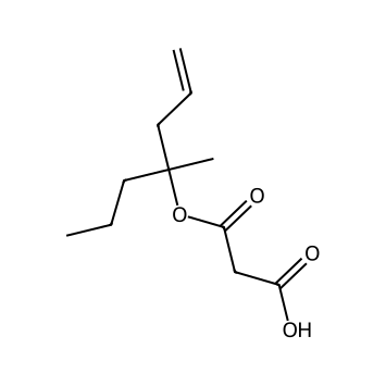 C=CCC(C)(CCC)OC(=O)CC(=O)O